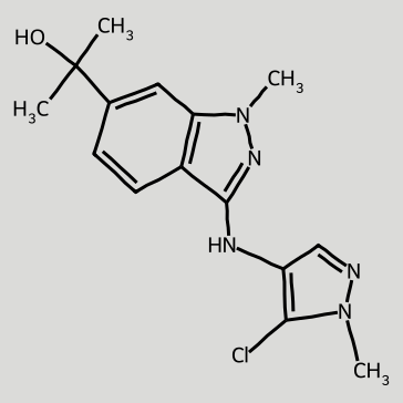 Cn1ncc(Nc2nn(C)c3cc(C(C)(C)O)ccc23)c1Cl